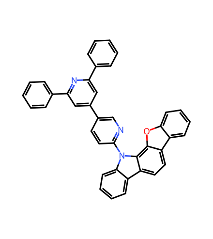 c1ccc(-c2cc(-c3ccc(-n4c5ccccc5c5ccc6c7ccccc7oc6c54)nc3)cc(-c3ccccc3)n2)cc1